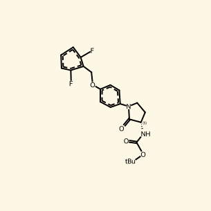 CC(C)(C)OC(=O)N[C@H]1CCN(c2ccc(OCc3c(F)cccc3F)cc2)C1=O